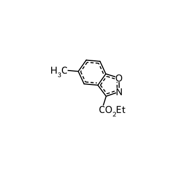 CCOC(=O)c1noc2ccc(C)cc12